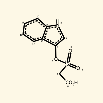 O=C(O)CS(=O)(=O)Oc1c[nH]c2ccccc12